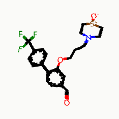 O=Cc1ccc(-c2ccc(C(F)(F)F)cc2)c(OCCCN2CC[S+]([O-])CC2)c1